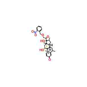 CC1C[C@H]2[C@@H]3CC(C)[C@](O)(C(=O)COCc4ccccc4[N+](=O)[O-])[C@@]3(C)CC(O)[C@]2(F)[C@@]2(C)C=CC(=O)C=C12